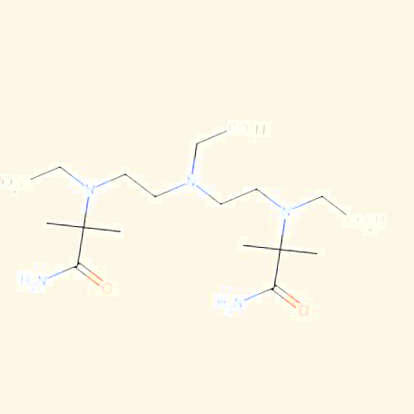 CC(C)(C(N)=O)N(CCN(CCN(CC(=O)O)C(C)(C)C(N)=O)CC(=O)O)CC(=O)O